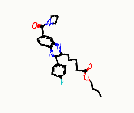 CCCCOC(=O)CCCCc1nc2cc(C(=O)N3CCC3)ccc2nc1-c1ccc(F)cc1